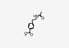 COC(=O)c1ccc(CCNC(C)=O)cc1